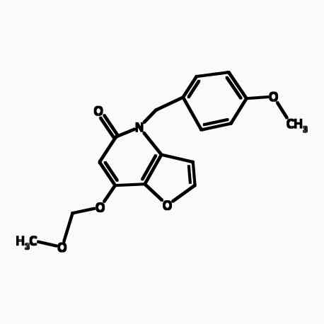 COCOc1cc(=O)n(Cc2ccc(OC)cc2)c2ccoc12